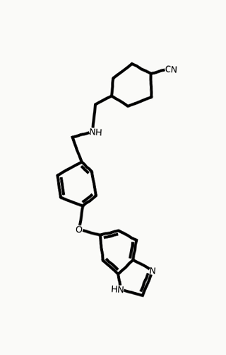 N#CC1CCC(CNCc2ccc(Oc3ccc4nc[nH]c4c3)cc2)CC1